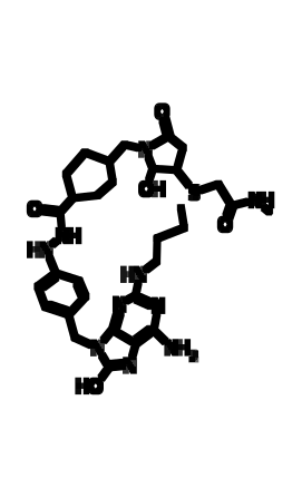 CCCCNc1nc(N)c2nc(O)n(Cc3ccc(NNC(=O)C4CCC(CN5C(=O)CC(SCC(=O)NC)C5O)CC4)cc3)c2n1